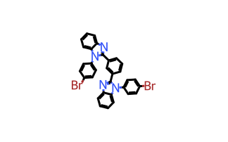 Brc1ccc(-n2c(-c3cccc(-c4nc5ccccc5n4-c4ccc(Br)cc4)c3)nc3ccccc32)cc1